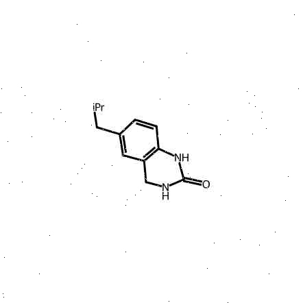 CC(C)Cc1ccc2c(c1)CNC(=O)N2